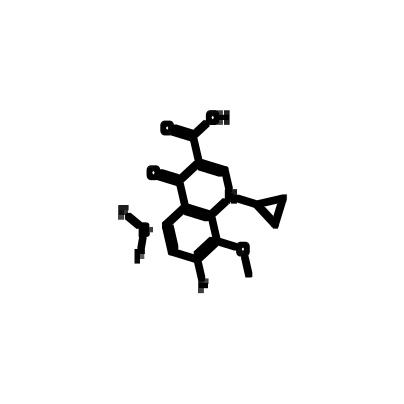 COc1c(F)ccc2c(=O)c(C(=O)O)cn(C3CC3)c12.F[B]F